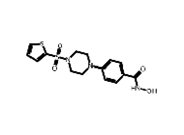 O=C(NO)c1ccc(N2CCN(S(=O)(=O)c3cccs3)CC2)cc1